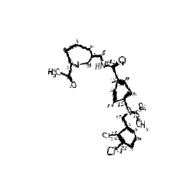 CC(=O)N1CCCC(CNC(=O)c2ccc(N(Cc3cccc(Cl)c3Cl)[S+](C)[O-])cc2)C1